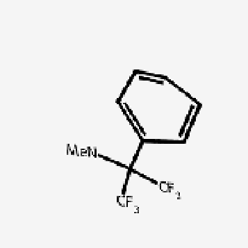 CNC(c1ccccc1)(C(F)(F)F)C(F)(F)F